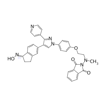 CN(CCOc1ccc(-n2cc(-c3ccc4c(c3)CC/C4=N\O)c(-c3ccncc3)n2)cc1)N1C(=O)c2ccccc2C1=O